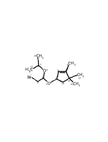 CC1=CC(OC(CBr)OC(C)C)CC1(C)C